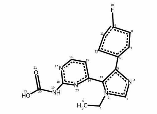 CCn1cnc(-c2ccc(F)cc2)c1-c1ccnc(NC(=O)O)n1